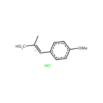 COc1ccc(/C=C(\C)C(=O)O)cc1.Cl